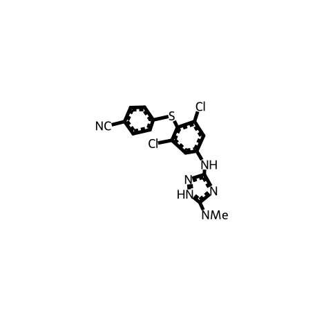 CNc1nc(Nc2cc(Cl)c(Sc3ccc(C#N)cc3)c(Cl)c2)n[nH]1